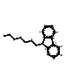 CCCCCCCC1c2ccccc2-c2ccccc21